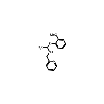 COc1ccccc1OC(C)NCc1ccccn1